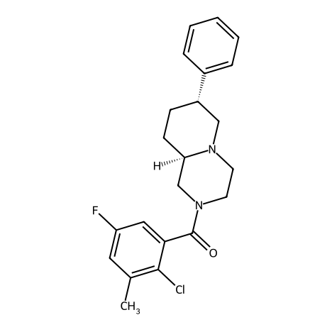 Cc1cc(F)cc(C(=O)N2CCN3C[C@@H](c4ccccc4)CC[C@@H]3C2)c1Cl